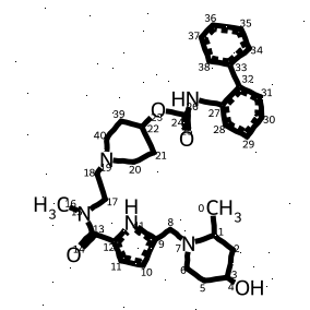 CC1CC(O)CCN1Cc1ccc(C(=O)N(C)CCN2CCC(OC(=O)Nc3ccccc3-c3ccccc3)CC2)[nH]1